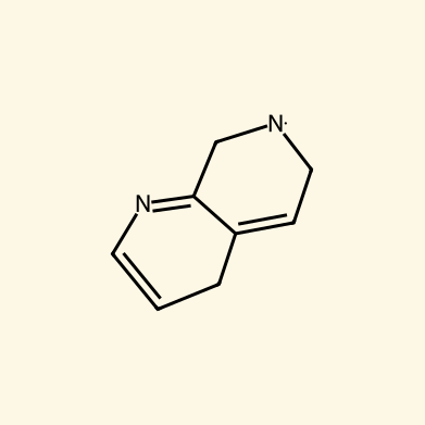 C1=CN=C2C[N]CC=C2C1